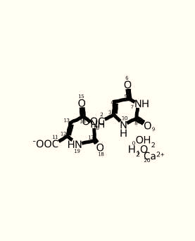 O.O.O=C([O-])c1cc(=O)[nH]c(=O)[nH]1.O=C([O-])c1cc(=O)[nH]c(=O)[nH]1.[Ca+2]